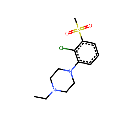 CCN1CCN(c2cccc(S(C)(=O)=O)c2Cl)CC1